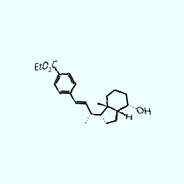 CCOC(=O)c1ccc(/C=C/[C@@H](C)[C@H]2CC[C@H]3[C@@H](O)CCC[C@@]23C)cc1